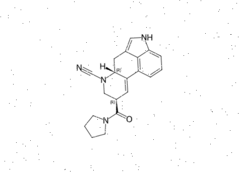 N#CN1C[C@H](C(=O)N2CCCC2)C=C2c3cccc4[nH]cc(c34)C[C@H]21